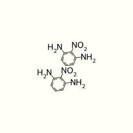 Nc1cccc(N)c1[N+](=O)[O-].Nc1cccc(N)c1[N+](=O)[O-]